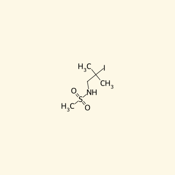 CC(C)(I)CNS(C)(=O)=O